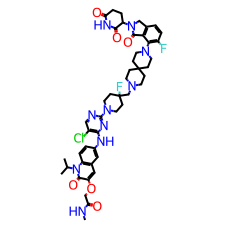 CNC(=O)COc1cc2cc(Nc3nc(N4CCC(F)(CN5CCC6(CC5)CCN(c5c(F)ccc7c5C(=O)N(C5CCC(=O)NC5=O)C7)CC6)CC4)ncc3Cl)ccc2n(C(C)C)c1=O